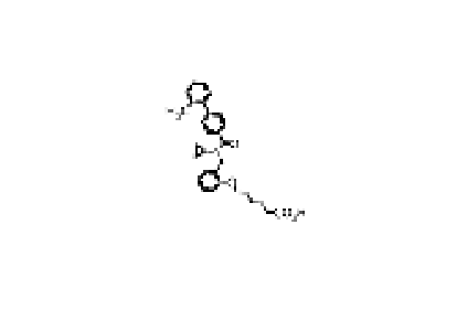 Cc1ccccc1-c1ccc(C(=O)N(Cc2ccccc2OCCCCCC(=O)O)C2CC2)cc1